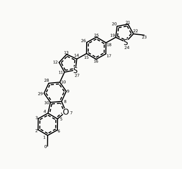 Cc1ccc2c(c1)oc1cc(-c3ccc(-c4ccc(-c5ccc(C)s5)cc4)s3)ccc12